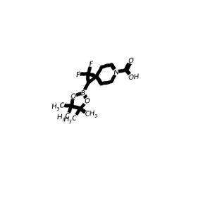 CC1(C)OB(C2C(F)(F)C23CCN(C(=O)O)CC3)OC1(C)C